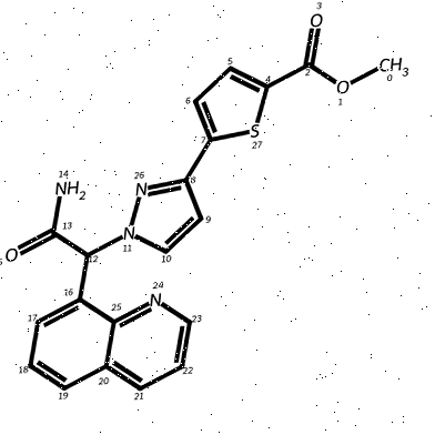 COC(=O)c1ccc(-c2ccn(C(C(N)=O)c3cccc4cccnc34)n2)s1